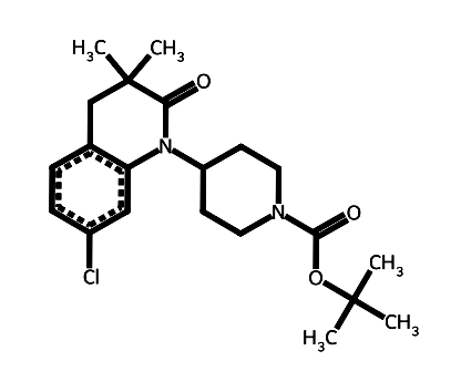 CC(C)(C)OC(=O)N1CCC(N2C(=O)C(C)(C)Cc3ccc(Cl)cc32)CC1